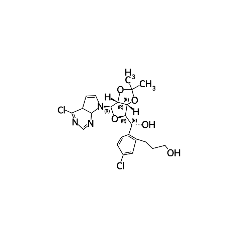 CC1(C)O[C@H]2[C@@H](O1)[C@H](N1C=CC3C(Cl)=NC=NC31)O[C@@H]2[C@H](O)c1ccc(Cl)cc1CCCO